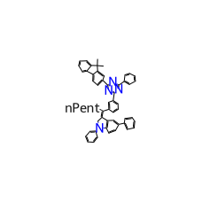 CCCCC/C(=C1\CN(c2ccccc2)c2ccc(-c3ccccc3)cc21)c1cccc(-c2nc(-c3ccccc3)nc(-c3ccc4c(c3)C(C)(C)c3ccccc3-4)n2)c1